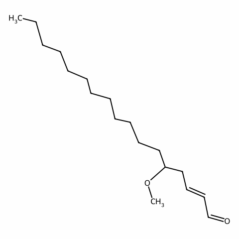 CCCCCCCCCCCCC(CC=CC=O)OC